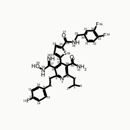 CC(C)Cc1nc(CCc2ccc(F)cc2)c(C(=N)NO)c(-c2ccc(C(=O)NCc3ccc(F)c(F)c3)s2)c1C(N)=O